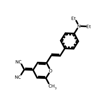 CCN(CC)c1ccc(C=CC2=CC(=C(C#N)C#N)C=C(C)O2)cc1